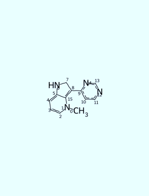 CN1C=CC=C2NCC(c3ccncn3)=C21